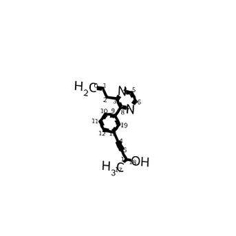 C=CCc1nccnc1-c1cccc(C#CC(C)O)c1